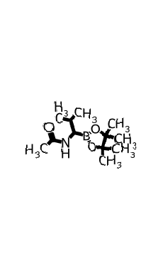 CC(=O)NC(B1OC(C)(C)C(C)(C)O1)C(C)C